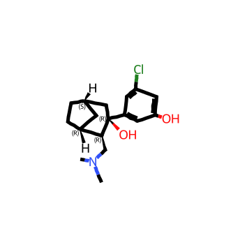 CN(C)C[C@H]1[C@@H]2CC[C@@H](C2)C[C@]1(O)c1cc(O)cc(Cl)c1